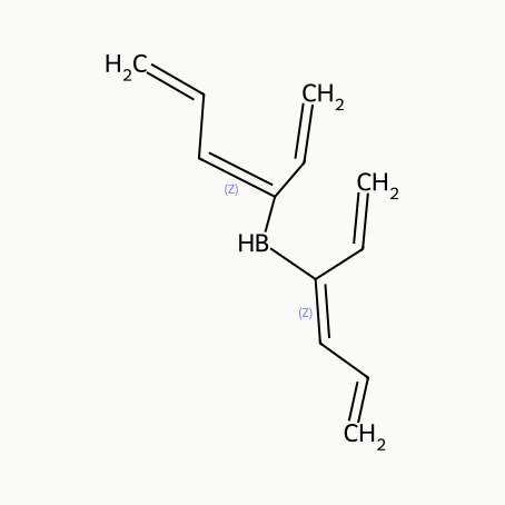 C=C/C=C(/B/C(C=C)=C/C=C)C=C